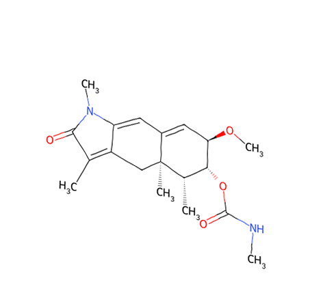 CNC(=O)O[C@H]1[C@H](OC)C=C2C=C3C(=C(C)C(=O)N3C)C[C@]2(C)[C@H]1C